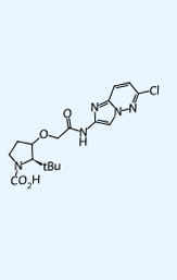 CC(C)(C)[C@@H]1C(OCC(=O)Nc2cn3nc(Cl)ccc3n2)CCN1C(=O)O